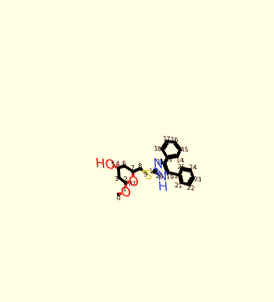 COC1CC(O)CC(CSc2nc(-c3ccccc3)c(-c3ccccc3)[nH]2)O1